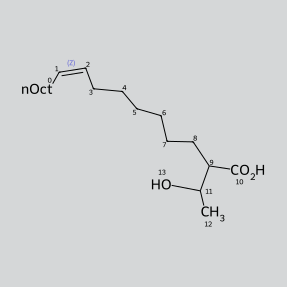 CCCCCCCC/C=C\CCCCCCC(C(=O)O)C(C)O